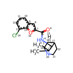 CC1(C)[C@@H](NC(=O)c2cc3cccc(Cl)c3o2)C2CCN1CC2